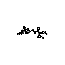 C=C(C)C(=O)OCCOP(=O)(O)OCCC